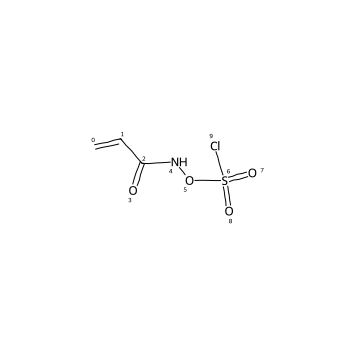 C=CC(=O)NOS(=O)(=O)Cl